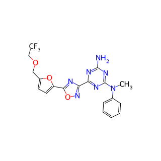 CN(c1ccccc1)c1nc(N)nc(-c2noc(-c3ccc(COCC(F)(F)F)o3)n2)n1